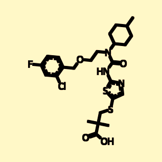 CC1CCC(N(CCOCc2ccc(F)cc2Cl)C(=O)Nc2ncc(SCC(C)(C)C(=O)O)s2)CC1